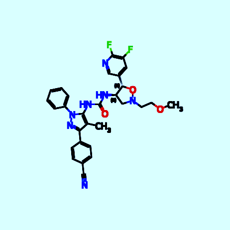 COCCN1C[C@@H](NC(=O)Nc2c(C)c(-c3ccc(C#N)cc3)nn2-c2ccccc2)[C@H](c2cnc(F)c(F)c2)O1